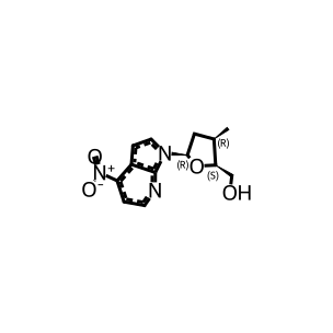 C[C@@H]1C[C@H](n2ccc3c([N+](=O)[O-])ccnc32)O[C@@H]1CO